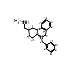 CNCC1CCC(N(Cc2ccccc2)Cc2ccccc2)CC1